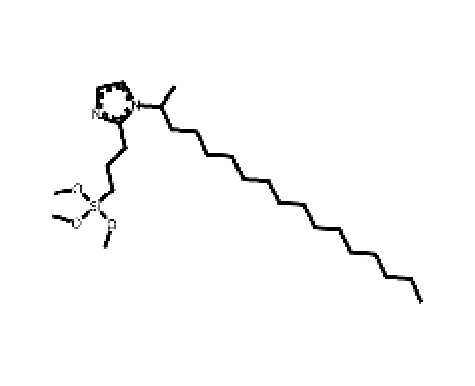 CCCCCCCCCCCCCCCC(C)n1ccnc1CCC[Si](OC)(OC)OC